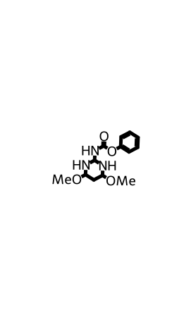 COC1CC(OC)NC(NC(=O)Oc2ccccc2)N1